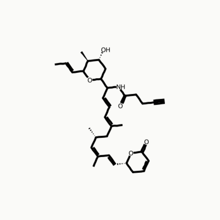 C#CCCC(=O)NC(/C=C/C=C(\C)C[C@@H](C)/C=C(C)\C=C\[C@H]1CC=CC(=O)O1)C1C[C@@H](O)[C@H](C)C(/C=C/C)O1